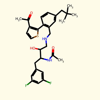 CC(=O)NC(Cc1cc(F)cc(F)c1)C(O)CNCc1cc(CC(C)(C)C)ccc1-c1sccc1C(C)=O